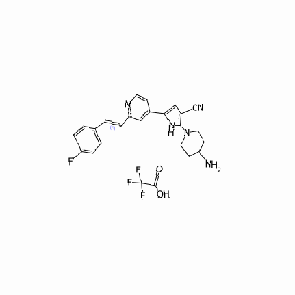 N#Cc1cc(-c2ccnc(/C=C/c3ccc(F)cc3)c2)[nH]c1N1CCC(N)CC1.O=C(O)C(F)(F)F